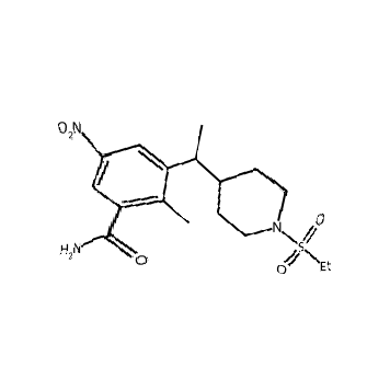 CCS(=O)(=O)N1CCC(C(C)c2cc([N+](=O)[O-])cc(C(N)=O)c2C)CC1